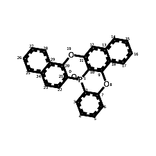 O=P12c3ccccc3Oc3c1c(cc1ccccc31)Oc1c2ccc2ccccc12